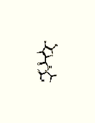 Cc1c(C(=O)N[C@H](C(=O)O)C(C)C)sc(Br)c1Br